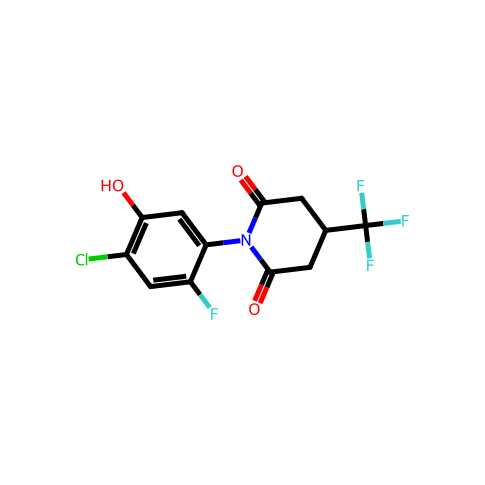 O=C1CC(C(F)(F)F)CC(=O)N1c1cc(O)c(Cl)cc1F